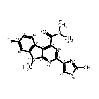 Cc1nc(-c2nc(C(=O)N(C)C)c3c4ccc(Cl)cc4n(C)c3n2)cs1